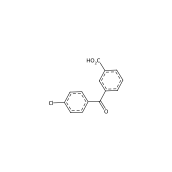 O=C(O)c1cccc(C(=O)c2ccc(Cl)cc2)c1